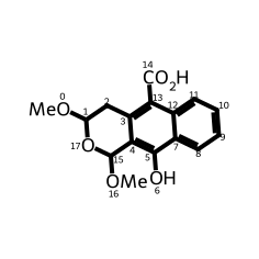 COC1Cc2c(c(O)c3ccccc3c2C(=O)O)C(OC)O1